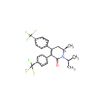 CC(C)N1C(=O)C(c2ccc(C(F)(F)F)cc2)=C(c2ccc(C(F)(F)F)cc2)C[C@H]1C